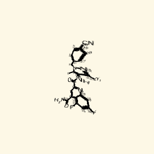 Cc1c(NC(=O)c2cc(C(N)=O)c3c(F)cc(F)cc3n2)c(C(F)(F)F)nn1Cc1ccc(C#N)cc1